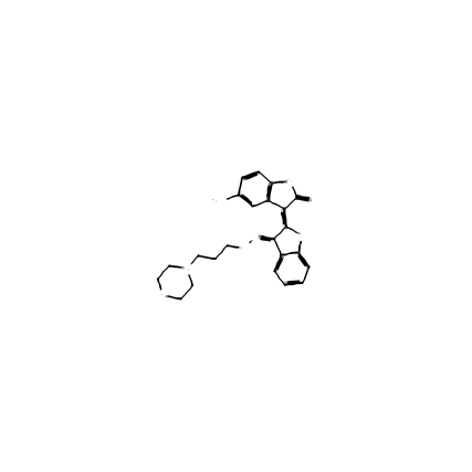 N#Cc1ccc2c(c1)/C(=C1/Nc3ccccc3/C1=N\OCCCN1CCNCC1)C(=O)N2